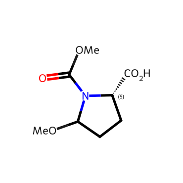 COC(=O)N1C(OC)CC[C@H]1C(=O)O